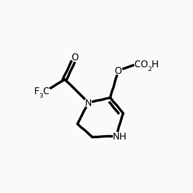 O=C(O)OC1=CNCCN1C(=O)C(F)(F)F